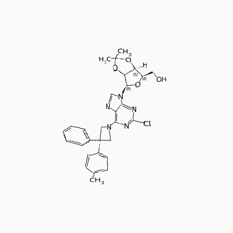 Cc1ccc(C2(c3ccccc3)CN(c3nc(Cl)nc4c3ncn4[C@@H]3O[C@H](CO)[C@@H]4OC(C)(C)OC43)C2)cc1